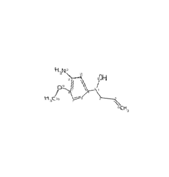 C=CCN(O)c1ccc(OC)c(N)c1